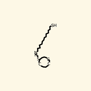 SCCCCCCCCCCCCCC/N=N\CSC1CCCCCCCCCCCC1